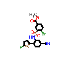 COC(=O)c1ccc(Br)c(S(=O)(=O)Nc2cc(C#N)ccc2-c2ccc(F)s2)c1